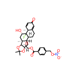 CC1(C)O[C@@H]2C[C@H]3[C@@H]4CCC5=CC(=O)C=C[C@]5(C)C4(F)[C@@H](O)C[C@]3(C)[C@]2(C(=O)COC(=O)c2ccc(CO[N+](=O)[O-])cc2)O1